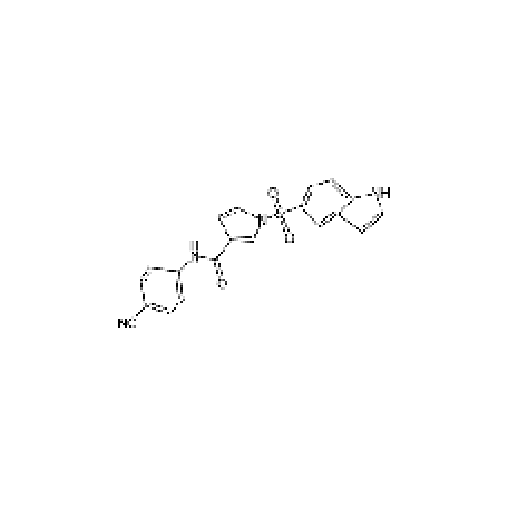 N#Cc1ccc(NC(=O)c2ccn(S(=O)(=O)c3ccc4[nH]ccc4c3)c2)cc1